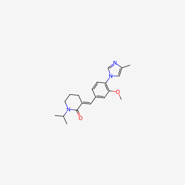 COc1cc(/C=C2\CCCN(C(C)C)C2=O)ccc1-n1cnc(C)c1